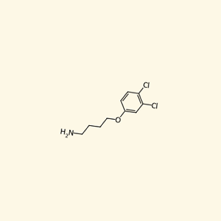 NCCCCOc1ccc(Cl)c(Cl)c1